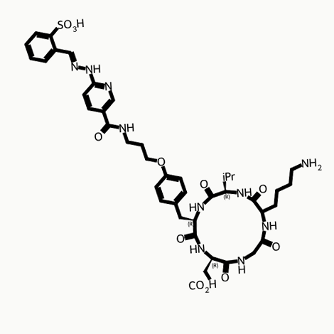 CC(C)[C@H]1NC(=O)C(CCCCN)NC(=O)CNC(=O)[C@@H](CC(=O)O)NC(=O)[C@@H](Cc2ccc(OCCCNC(=O)c3ccc(NN=Cc4ccccc4S(=O)(=O)O)nc3)cc2)NC1=O